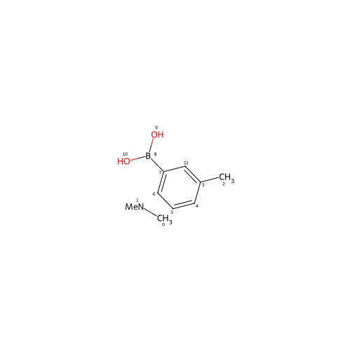 CNC.Cc1cccc(B(O)O)c1